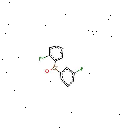 [O-][S+](c1cccc(F)c1)c1ccccc1F